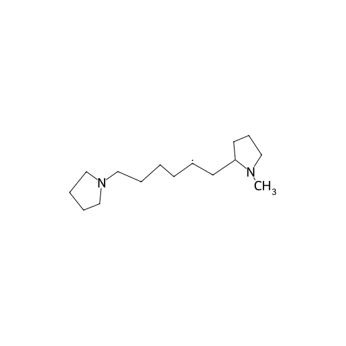 CN1CCCC1C[CH]CCCCN1CCCC1